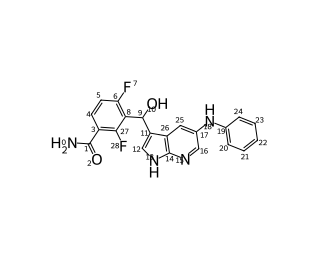 NC(=O)c1ccc(F)c(C(O)c2c[nH]c3ncc(Nc4ccccc4)cc23)c1F